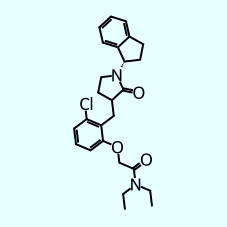 CCN(CC)C(=O)COc1cccc(Cl)c1CC1CCN([C@H]2CCc3ccccc32)C1=O